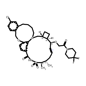 C[C@@H]1[C@@H](C)C/C=C/[C@H](OCC(=O)N2CCC(F)(F)CC2)[C@@H]2CC[C@H]2CN2CCCCc3cc(Cl)ccc3COc3ccc(cc32)C(=O)NS1(=O)=O